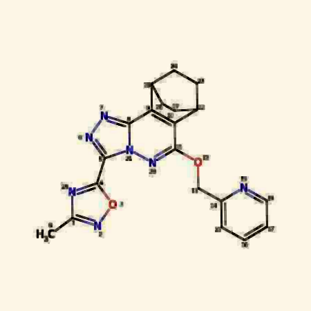 Cc1noc(-c2nnc3c4c(c(OCc5ccccn5)nn23)C2CCC4CC2)n1